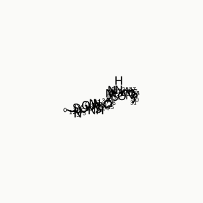 CCc1nc(CC(=O)Nc2nnc([C@H]3CCC[C@H](c4nnc(NC(=O)Cc5csc(CC)n5)s4)C3)s2)cs1